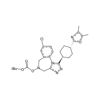 Cc1nc([C@H]2CC[C@H](c3nnc4n3-c3ccc(Cl)cc3CN(OC(=O)OC(C)(C)C)C4)CC2)oc1C